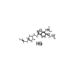 CC#CCN1CCC(CCc2noc3c(CN(C)C)c(OCC4CC4)ccc23)CC1.Cl.Cl